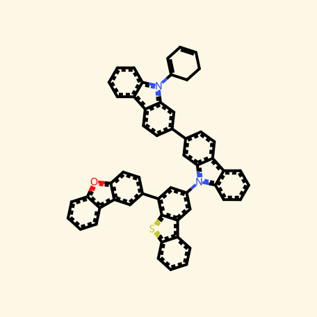 C1=CCCC(n2c3ccccc3c3ccc(-c4ccc5c6ccccc6n(-c6cc(-c7ccc8oc9ccccc9c8c7)c7sc8ccccc8c7c6)c5c4)cc32)=C1